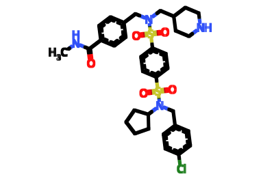 CNC(=O)c1ccc(CN(CC2CCNCC2)S(=O)(=O)c2ccc(S(=O)(=O)N(Cc3ccc(Cl)cc3)C3CCCC3)cc2)cc1